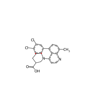 Cc1ccc(-c2ccc(Cl)c(Cl)c2)c2c(N3CCCC(C(=O)O)C3)ccnc12